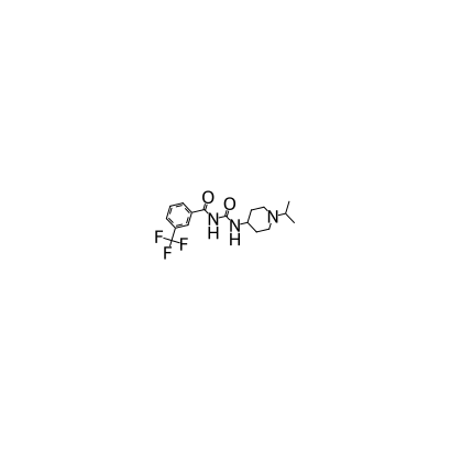 CC(C)N1CCC(NC(=O)NC(=O)c2cccc(C(F)(F)F)c2)CC1